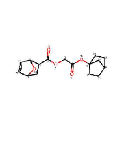 O=C(COC(=O)C1CC2C=CC1O2)OC12CCC(CC1)C2